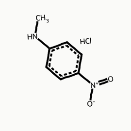 CNc1ccc([N+](=O)[O-])cc1.Cl